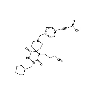 CCCCN1C(=O)[C@H](CC2CCCCC2)NC(=O)C12CCN(Cc1ccc(C#CC(=O)O)cc1)CC2